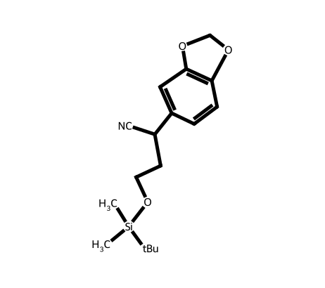 CC(C)(C)[Si](C)(C)OCCC(C#N)c1ccc2c(c1)OCO2